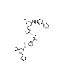 Cc1ccccc1-c1cccc(CNC2=CC(=O)CC(c3cccc(C4CCC(Oc5ccc(CNC6=CC(=O)CC(c7ccccc7)C6)cc5)C4)c3)C2)c1